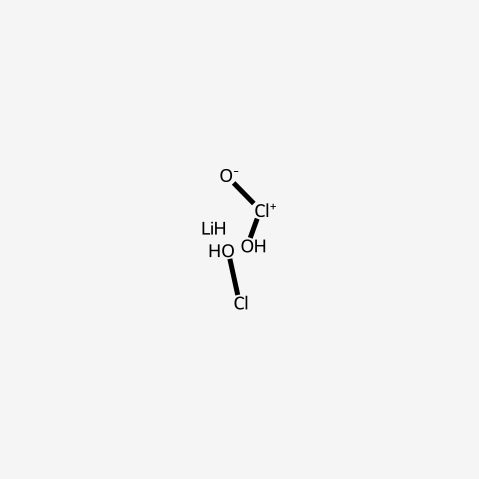 OCl.[LiH].[O-][Cl+]O